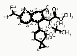 COC(=O)[C@@H](OC(C)(C)C)c1c(C)cc2nc(C(F)F)ccc2c1C1=CCC2(CC1)CC2